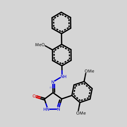 COc1ccc(OC)c(C2=NNC(=O)/C2=N/Nc2ccc(-c3ccccc3)c(OC)c2)c1